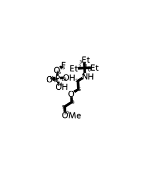 CCC(CC)(CC)NCCOCCOC.O=P(O)(O)OF